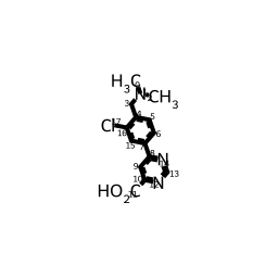 CN(C)Cc1ccc(-c2cc(C(=O)O)ncn2)cc1Cl